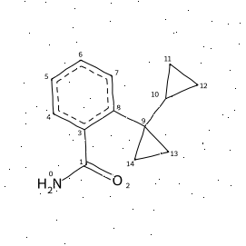 NC(=O)c1ccccc1C1(C2CC2)CC1